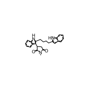 CN1C(=O)CC(c2c(CCCCc3cc4ccccc4[nH]3)[nH]c3ccccc23)C1=O